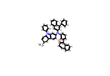 CC1C=Cc2c(c3ccc(N(c4cc(-c5ccccc5)c5ccccc5c4)c4cccc5c4oc4ccc6ccccc6c45)cc3n2-c2ccccc2)C1